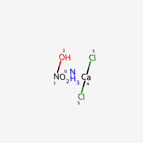 N.O=[N+]([O-])O.[Cl][Ca][Cl]